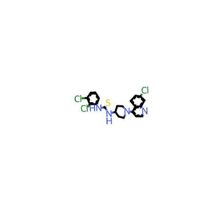 S=C(Nc1cccc(Cl)c1Cl)NC1CCN(c2ccnc3cc(Cl)ccc23)CC1